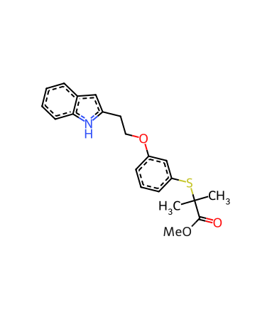 COC(=O)C(C)(C)Sc1cccc(OCCc2cc3ccccc3[nH]2)c1